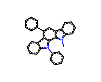 Cn1c2ccccc2c2cc(-c3ccccc3)c3c4ccccc4n(-c4ccccc4)c3c21